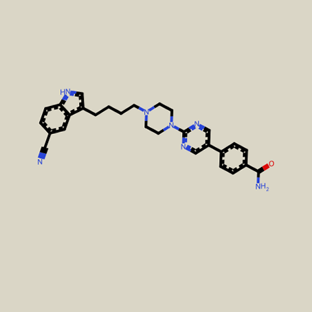 N#Cc1ccc2[nH]cc(CCCCN3CCN(c4ncc(-c5ccc(C(N)=O)cc5)cn4)CC3)c2c1